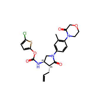 C=CC[C@H]1C(=O)N(c2ccc(N3CCOCC3=O)c(C)c2)C[C@@H]1NC(=O)Oc1ccc(Cl)s1